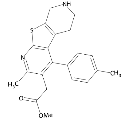 COC(=O)Cc1c(C)nc2sc3c(c2c1-c1ccc(C)cc1)CCNC3